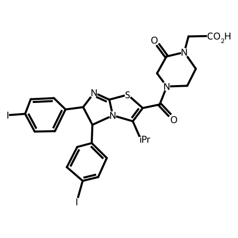 CC(C)C1=C(C(=O)N2CCN(CC(=O)O)C(=O)C2)SC2=NC(c3ccc(I)cc3)C(c3ccc(I)cc3)N21